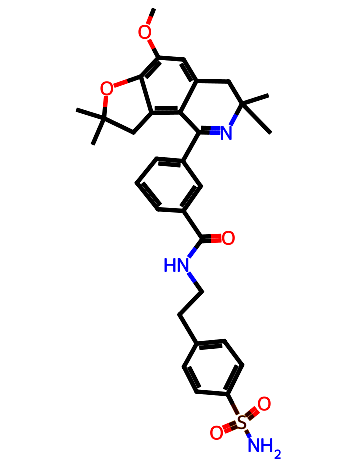 COc1cc2c(c3c1OC(C)(C)C3)C(c1cccc(C(=O)NCCc3ccc(S(N)(=O)=O)cc3)c1)=NC(C)(C)C2